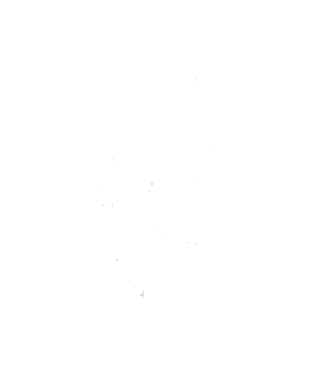 CC1CCC(O)(C(=O)CBr)CC1